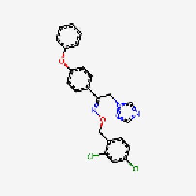 Clc1ccc(CON=C(Cn2cncn2)c2ccc(Oc3ccccc3)cc2)c(Cl)c1